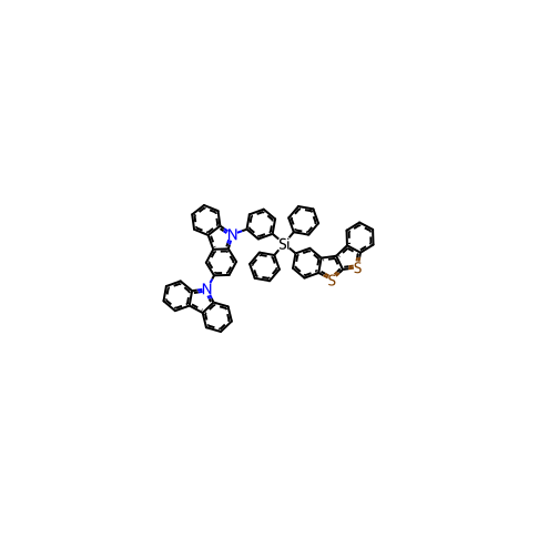 c1ccc([Si](c2ccccc2)(c2cccc(-n3c4ccccc4c4cc(-n5c6ccccc6c6ccccc65)ccc43)c2)c2ccc3sc4sc5ccccc5c4c3c2)cc1